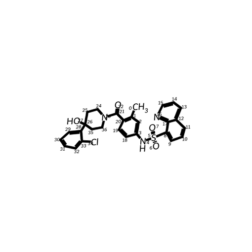 Cc1cc(NS(=O)(=O)c2cccc3cccnc23)ccc1C(=O)N1CCC(O)(c2ccccc2Cl)CC1